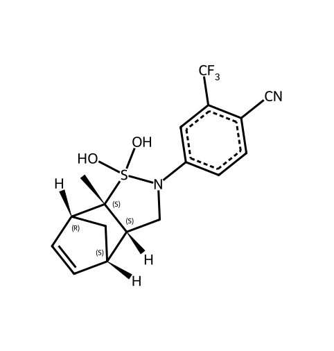 C[C@]12[C@H](CN(c3ccc(C#N)c(C(F)(F)F)c3)S1(O)O)[C@@H]1C=C[C@H]2C1